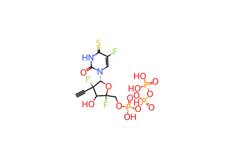 C#C[C@@]1(F)C(O)[C@@](F)(COP(=O)(O)OP(=O)(O)OP(=O)(O)O)O[C@H]1n1cc(F)c(=S)[nH]c1=O